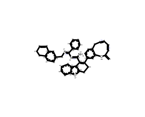 C=C1/C=C\C=C/Cc2ccc(C3=C(/C(N)=N/C(=N\Cc4ccc5c(c4)C=CCC5)c4ccccc4)c4c(oc5ccccc45)CC3)cc2O1